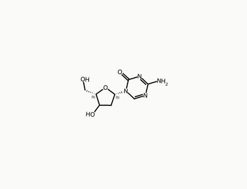 Nc1ncn([C@@H]2CC(O)[C@H](CO)O2)c(=O)n1